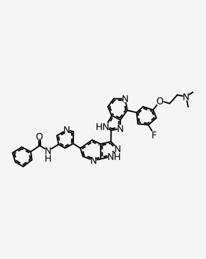 CN(C)CCOc1cc(F)cc(-c2nccc3[nH]c(-c4n[nH]c5ncc(-c6cncc(NC(=O)c7ccccc7)c6)cc45)nc23)c1